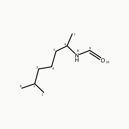 CC(C)CCCC(C)NC=O